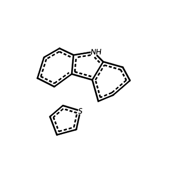 c1ccc2c(c1)[nH]c1ccccc12.c1ccsc1